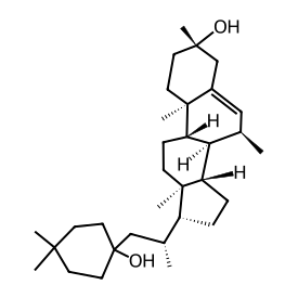 C[C@@H]1C=C2C[C@@](C)(O)CC[C@]2(C)[C@H]2CC[C@]3(C)[C@@H]([C@H](C)CC4(O)CCC(C)(C)CC4)CC[C@H]3[C@H]12